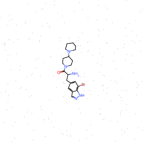 NC(Cc1cc(Br)c2[nH]ncc2c1)C(=O)N1CCC(N2CCCCC2)CC1